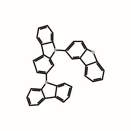 c1ccc2c(c1)oc1ccc(-n3c4ccccc4c4ccc(-n5c6ccccc6c6ccccc65)cc43)cc12